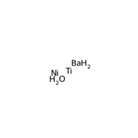 O.[BaH2].[Ni].[Ti]